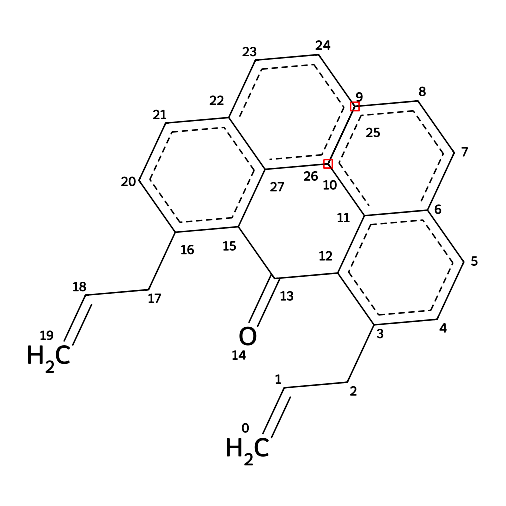 C=CCc1ccc2ccccc2c1C(=O)c1c(CC=C)ccc2ccccc12